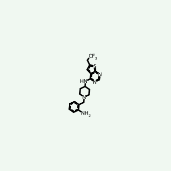 Nc1ccccc1CN1CCC(Nc2ncnc3sc(CC(F)(F)F)cc23)CC1